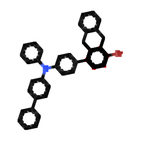 Brc1ccc(-c2ccc(N(c3ccccc3)c3ccc(-c4ccccc4)cc3)cc2)c2c1C1c3ccccc3C2c2ccccc21